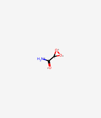 NC(=O)C1OO1